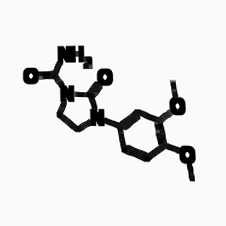 COc1ccc(N2CCN(C(N)=O)C2=O)cc1OC